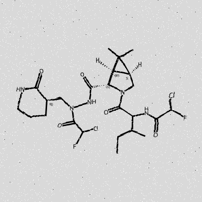 CCC(C)C(NC(=O)C(F)Cl)C(=O)N1C[C@H]2[C@@H]([C@H]1C(=O)NN(C[C@H]1CCCNC1=O)C(=O)C(F)Cl)C2(C)C